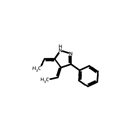 C/C=c1/c(-c2ccccc2)n[nH]/c1=C/C